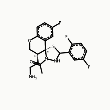 CC(=O)N1NC(c2cc(F)ccc2F)S[C@]12c1cc(F)ccc1OC[C@@H]2CCN